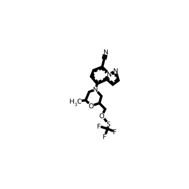 CC1CN(c2ccc(C#N)n3nccc23)CC(COSC(F)(F)F)O1